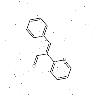 O=CC(=Cc1ccccc1)c1ccccn1